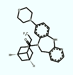 O=C(C1[C@@H]2C[C@H]1CN(CC(F)(F)F)C2)N1Cc2cccnc2Nc2ccc(N3CCOCC3)cc21